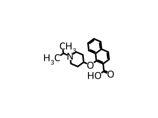 CC(C)N1CCC(Oc2c(C(=O)O)ccc3ccccc23)CC1